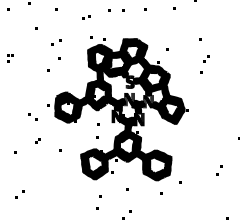 c1cccc(-c2cc(-c3ccccc3)cc(-c3nc(-c4cc(-c5ccccc5)cc(-c5ccccc5)c4)nc(-n4c5ccccc5c5ccc6c(c54)SC4=CCCc5cccc-6c54)n3)c2)c#1